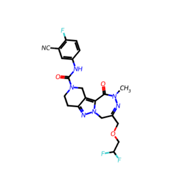 CN1N=C(COCC(F)F)Cn2nc3c(c2C1=O)CN(C(=O)Nc1ccc(F)c(C#N)c1)CC3